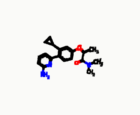 CC(Oc1ccc(-c2cccc(N)n2)c(C2CC2)c1)C(=O)N(C)C